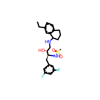 CCc1ccc2c(c1)C(NC[C@@H](O)[C@H](Cc1cc(F)cc(F)c1)NS(C)(=O)=O)CCC2